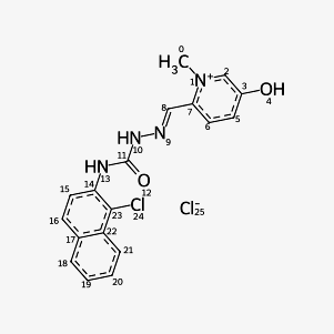 C[n+]1cc(O)ccc1C=NNC(=O)Nc1ccc2ccccc2c1Cl.[Cl-]